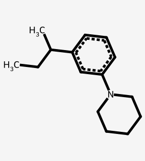 CCC(C)c1cccc(N2CCCCC2)c1